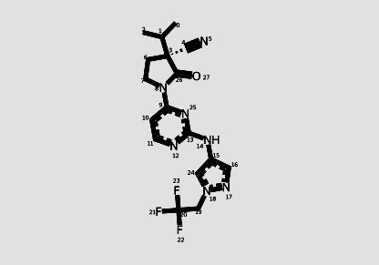 CC(C)[C@]1(C#N)CCN(c2ccnc(Nc3cnn(CC(F)(F)F)c3)n2)C1=O